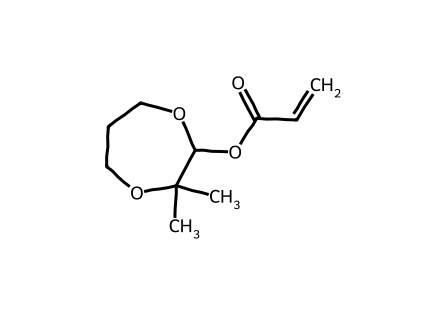 C=CC(=O)OC1OCCCOC1(C)C